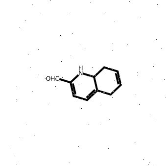 O=[C]C1=CC=C2CC=CCC2N1